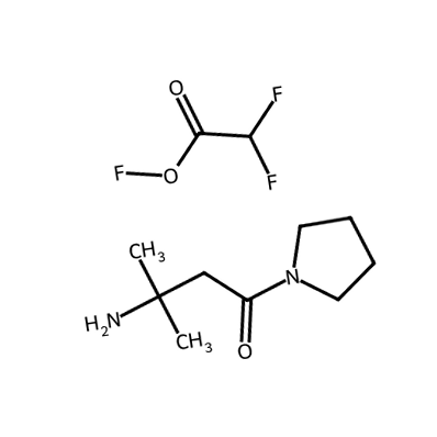 CC(C)(N)CC(=O)N1CCCC1.O=C(OF)C(F)F